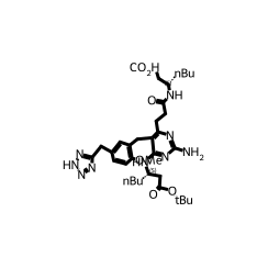 CCCC[C@@H](CC(=O)O)NC(=O)CCc1nc(N)nc(N[C@@H](CCCC)CC(=O)OC(C)(C)C)c1Cc1cc(Cc2nn[nH]n2)ccc1OC